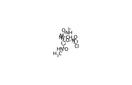 CCNC(=O)c1ccc(-n2nnc(C(=O)NC3CC3)c2C)c(OCCn2cc(Cl)ccc2=O)c1